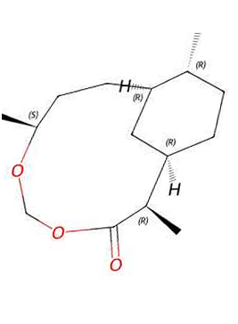 C[C@@H]1CC[C@@H]2C[C@H]1CC[C@H](C)OCOC(=O)[C@@H]2C